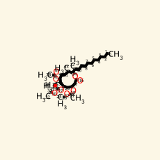 CCCCCCCCC=C/C=C(\C)C1OC(=O)CC(OC(C)OCC)CC(OC(C)OCC)C(C)C(OC(C)=O)/C=C/C1C